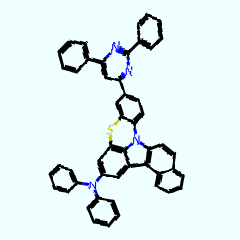 c1ccc(-c2cc(-c3ccc4c(c3)Sc3cc(N(c5ccccc5)c5ccccc5)cc5c6c7ccccc7ccc6n-4c35)nc(-c3ccccc3)n2)cc1